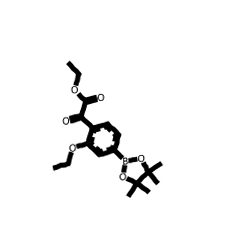 CCOC(=O)C(=O)c1ccc(B2OC(C)(C)C(C)(C)O2)cc1OCC